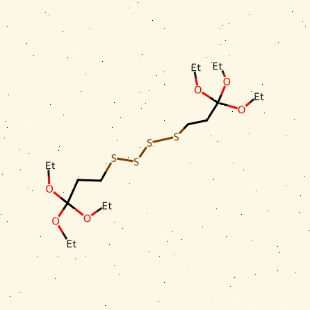 CCOC(CCSSSSCCC(OCC)(OCC)OCC)(OCC)OCC